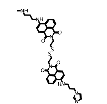 CNCCCNc1ccc2c3c(cccc13)C(=O)N(CCSSCCN1C(=O)c3cccc4c(NCCCn5ccnc5)ccc(c34)C1=O)C2=O